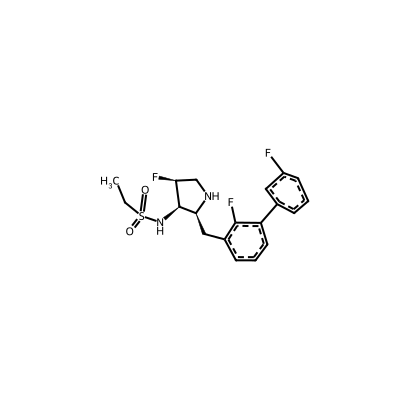 CCS(=O)(=O)N[C@@H]1[C@H](Cc2cccc(-c3cccc(F)c3)c2F)NC[C@@H]1F